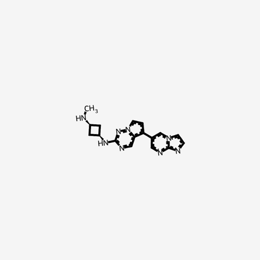 CN[C@H]1C[C@@H](Nc2ncc3c(-c4cnc5nccn5c4)ccn3n2)C1